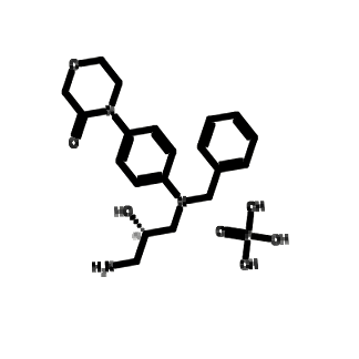 NC[C@H](O)CN(Cc1ccccc1)c1ccc(N2CCOCC2=O)cc1.O=P(O)(O)O